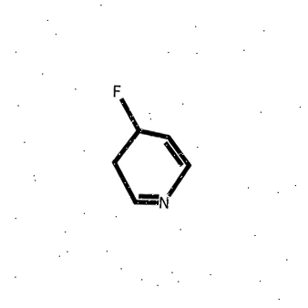 FC1C=CN=CC1